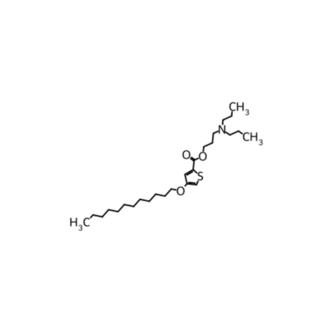 CCCCCCCCCCCCOc1csc(C(=O)OCCCN(CCC)CCC)c1